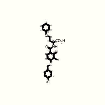 Cc1c(OCc2ccc(Cl)cc2)ccc(C(=O)NC(CCOc2ccccc2)C(=O)O)c1C